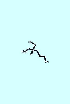 CC(C)(C)OP(=O)(OC(C)(C)C)SCCC#N